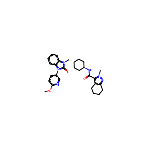 COc1ccc(-n2c(=O)n(C[C@H]3CC[C@H](NC(=O)c4c5c(nn4C)CCCC5)CC3)c3ccccc32)cn1